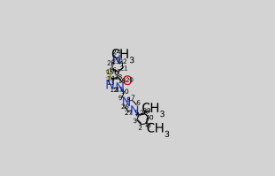 Cc1ccc(N2CCN(CCn3cnc4sc5c(c4c3=O)CCN(C)C5)CC2)c(C)c1